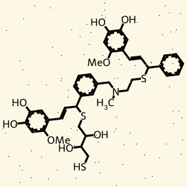 COc1cc(O)c(O)cc1/C=C/C(SCCN(C)Cc1cccc(C(/C=C/c2cc(O)c(O)cc2OC)SCC(O)C(O)CS)c1)c1ccccc1